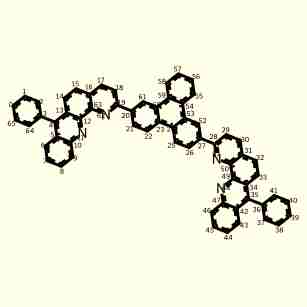 c1ccc(-c2c3ccccc3nc3c2ccc2ccc(-c4ccc5c6ccc(-c7ccc8ccc9c(-c%10ccccc%10)c%10ccccc%10nc9c8n7)cc6c6ccccc6c5c4)nc23)cc1